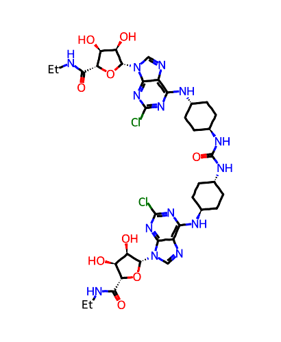 CCNC(=O)[C@H]1O[C@@H](n2cnc3c(N[C@H]4CC[C@H](NC(=O)N[C@H]5CC[C@H](Nc6nc(Cl)nc7c6ncn7[C@@H]6O[C@H](C(=O)NCC)[C@@H](O)[C@H]6O)CC5)CC4)nc(Cl)nc32)[C@H](O)[C@@H]1O